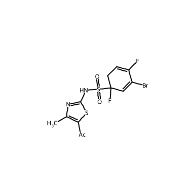 CC(=O)c1sc(NS(=O)(=O)C2(F)C=C(Br)C(F)=CC2)nc1C